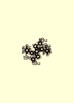 CC(C)(C)c1cc(-c2cccc3c4c5c6cc(-c7c(F)c(F)c(F)c(F)c7F)ccc6n6c7c(-c8cc(C(C)(C)C)cc(C(C)(C)C)c8)cccc7c(c7c8cc(-c9c(F)c(F)c(F)c(F)c9F)ccc8n(c23)c74)c56)cc(C(C)(C)C)c1